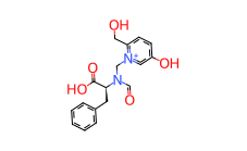 O=CN(C[n+]1cc(O)ccc1CO)[C@@H](Cc1ccccc1)C(=O)O